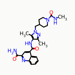 CNC(=O)N1CCC(Cn2nc(C)c(NC(=O)c3cc(C(N)=O)nc4ccccc34)c2C)CC1